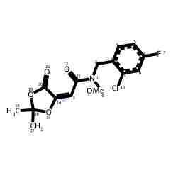 CON(Cc1ccc(F)cc1Cl)C(=O)/C=C1/OC(C)(C)OC1=O